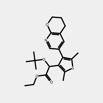 CCOC(=O)C(OC(C)(C)C)c1c(C)sc(C)c1-c1cnc2c(c1)CCCO2